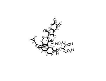 O=C(O)C(O)C(O)C(=O)O.O=C1c2cc(Cl)c(Cl)cc2C(=O)N1[C@@H]1CC[C@@]2(O)[C@H]3Cc4ccc(O)c5c4[C@@]2(CCN3CC2CC2)[C@H]1O5